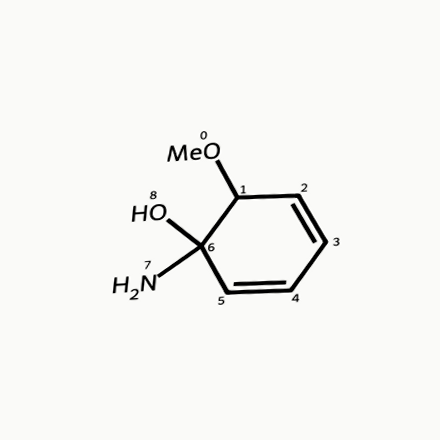 COC1C=CC=CC1(N)O